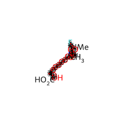 CNC(=O)c1c(-c2ccc(F)cc2)oc2cc(N(CCOCCOCCOCCOCCOCCOCc3cccc(C(=O)C=C(O)C(=O)O)c3)S(C)(=O)=O)c(C3CC3)cc12